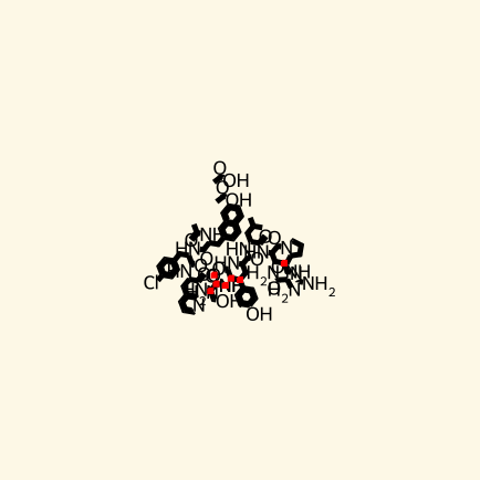 CC(=O)NC(Cc1ccc2ccccc2c1)C(=O)NC(Cc1ccc(Cl)cc1)C(=O)NC(Cc1cccnc1)C(=O)NC(CO)C(=O)NC(Cc1ccc(O)cc1)C(=O)NC(CCCNC(N)=O)C(=O)NC(CC(C)C)C(=O)NC(CCCN=C(N)N)C(=O)N1CCCC1C(=O)NC(C)C(N)=O.CC(=O)O.CC(=O)O